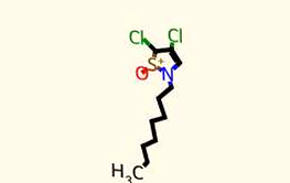 CCCCCCCCN1C=C(Cl)C(Cl)[S+]1[O-]